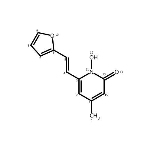 Cc1cc(C=Cc2ccco2)n(O)c(=O)c1